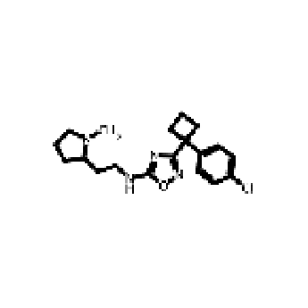 CN1CCCC1CCNc1nc(C2(c3ccc(Cl)cc3)CCC2)no1